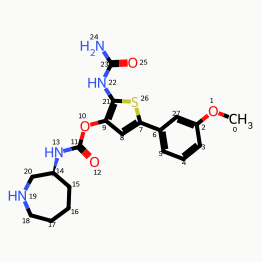 COc1cccc(-c2cc(OC(=O)N[C@H]3CCCCNC3)c(NC(N)=O)s2)c1